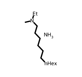 CCCCCCCCCCCCN(C)CC.N